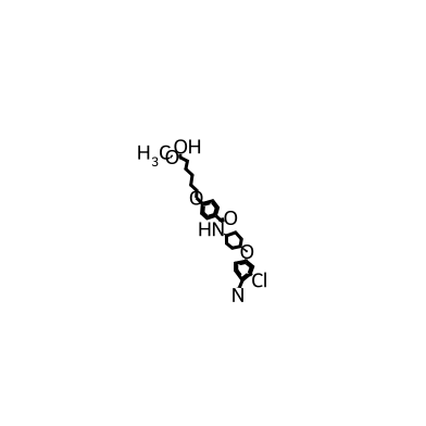 COC(O)CCCCCOc1ccc(C(=O)N[C@H]2CC[C@H](Oc3ccc(C#N)c(Cl)c3)CC2)cc1